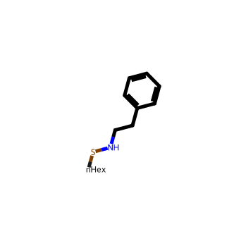 CCCCCCSNCCc1ccccc1